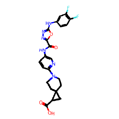 O=C(Nc1ccc(N2CCC3(CC2)CC3C(=O)O)nc1)c1nnc(Nc2ccc(F)c(F)c2)o1